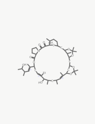 CC/C1=C\CC(/C(C)=C/C(C)C(C)O)OC(=O)C2CCCN2C(=O)C(=O)C2(O)OC(CCC2C)CC2OC(C)(C)OC(CC3CC(OC(C)(C)O3)/C(C)=C/C(C)CC(C)C1O)C2C